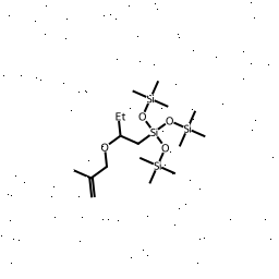 C=C(C)COC(CC)C[Si](O[Si](C)(C)C)(O[Si](C)(C)C)O[Si](C)(C)C